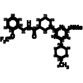 CNc1nc(N2CCN(C)CC2)nc(N2CCCC(C(=O)NCc3ccccc3OC(F)(F)F)C2)n1